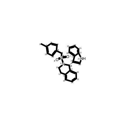 Cc1ccc(CS(=O)(=O)N2CCc3ccccc3[C@H]2c2c[nH]c3ccccc23)cc1